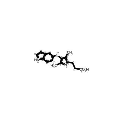 Cc1nn(CCC(=O)O)c(C)c1Oc1ccc2[nH]ccc2c1